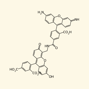 N=c1ccc2c(-c3ccc(C(=O)NCc4c5oc6cc(O)ccc6c(-c6ccc(C(=O)O)cc6C(=O)O)c-5ccc4=O)cc3C(=O)O)c3ccc(N)cc3oc-2c1